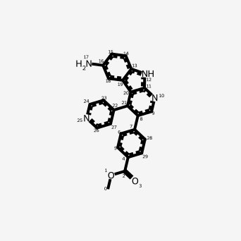 COC(=O)c1ccc(-c2cnc3[nH]c4ccc(N)cc4c3c2-c2ccncc2)cc1